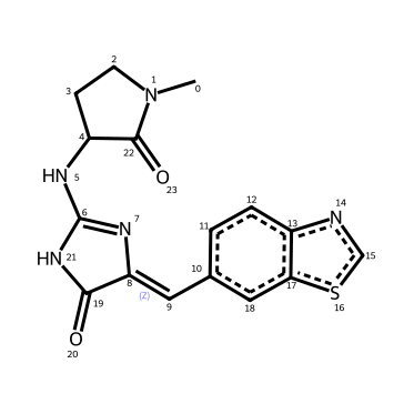 CN1CCC(NC2=N/C(=C\c3ccc4ncsc4c3)C(=O)N2)C1=O